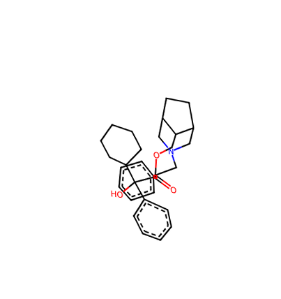 O=C(OCC1C2CCC1CN(Cc1ccccc1)C2)C(O)(c1ccccc1)C1CCCCC1